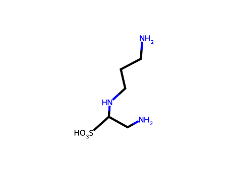 NCCCNC(CN)S(=O)(=O)O